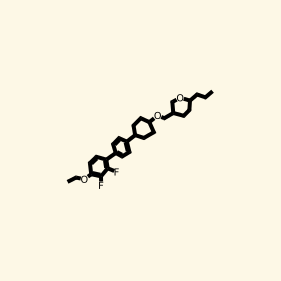 CCCC1CCC(COC2CCC(c3ccc(-c4ccc(OCC)c(F)c4F)cc3)CC2)CO1